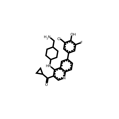 NCC1CCC(Nc2c(C(=O)C3CC3)cnc3ccc(-c4cc(F)c(O)c(Cl)c4)cc23)CC1